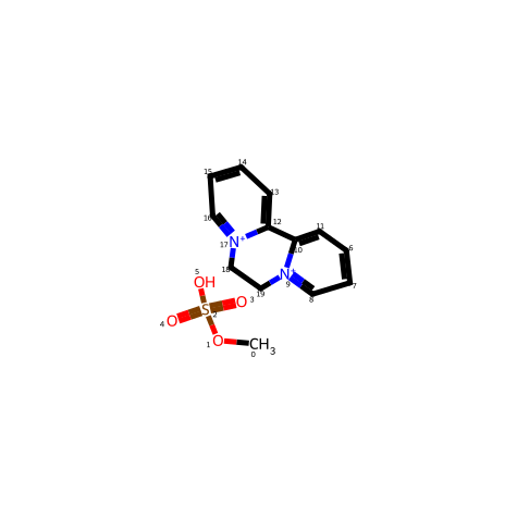 COS(=O)(=O)O.c1cc[n+]2c(c1)-c1cccc[n+]1CC2